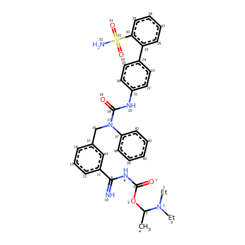 CCN(CC)C(C)OC(=O)NC(=N)c1cccc(CN(C(=O)Nc2ccc(-c3ccccc3S(N)(=O)=O)cc2)c2ccccc2)c1